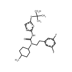 CC1CCC(N(CCc2cc(F)cc(F)c2)C(=O)Nc2ncc(SC(C)(C)C(=O)O)s2)CC1